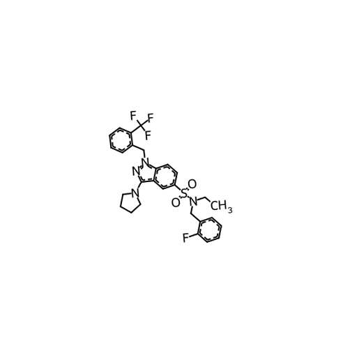 CCN(Cc1ccccc1F)S(=O)(=O)c1ccc2c(c1)c(N1CCCC1)nn2Cc1ccccc1C(F)(F)F